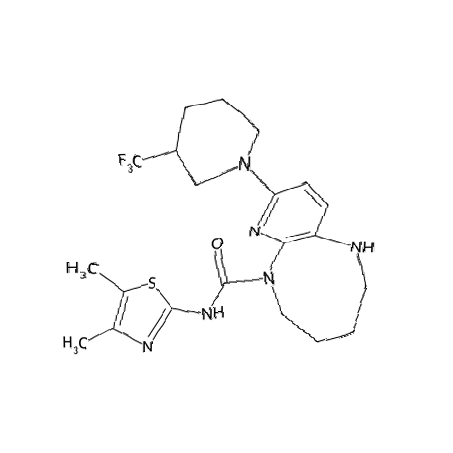 Cc1nc(NC(=O)N2CCCCNc3ccc(N4CCCC(C(F)(F)F)C4)nc32)sc1C